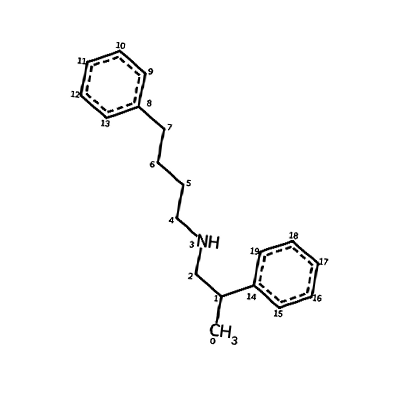 CC(CNCCCCc1ccccc1)c1ccccc1